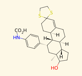 C[C@]12C[C@H](c3ccc(NC(=O)O)cc3)[C@H]3[C@@H](CCC4=CC5(CC[C@@H]43)SCCS5)[C@@H]1CCC2O